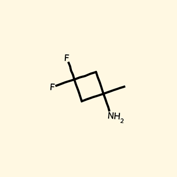 CC1(N)CC(F)(F)C1